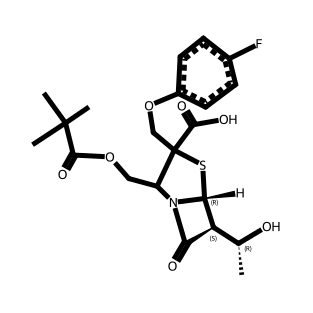 C[C@@H](O)[C@H]1C(=O)N2C(COC(=O)C(C)(C)C)C(COc3ccc(F)cc3)(C(=O)O)S[C@H]12